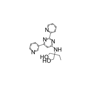 CCC(CO)(CO)Nc1cc(-c2cccnc2)nc(-c2ccccn2)n1